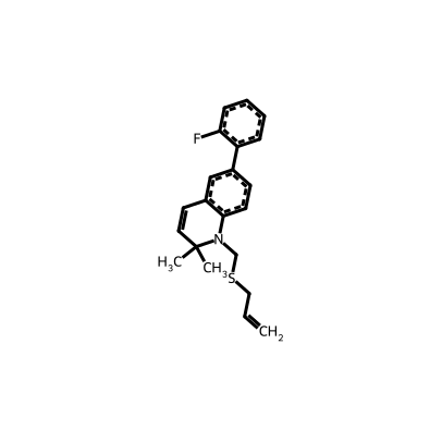 C=CCSCN1c2ccc(-c3ccccc3F)cc2C=CC1(C)C